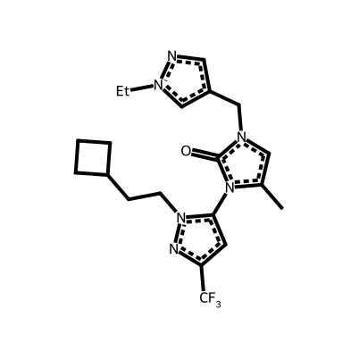 CCn1cc(Cn2cc(C)n(-c3cc(C(F)(F)F)nn3CCC3CCC3)c2=O)cn1